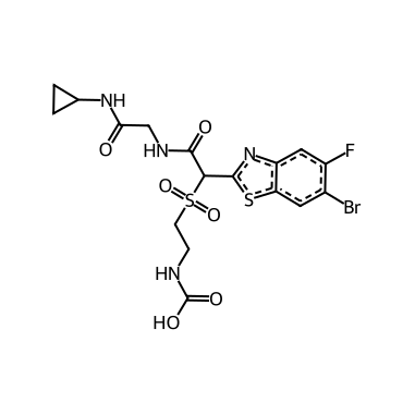 O=C(O)NCCS(=O)(=O)C(C(=O)NCC(=O)NC1CC1)c1nc2cc(F)c(Br)cc2s1